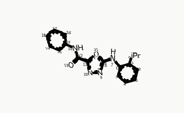 CC(C)c1ccccc1Nc1nnc(C(=O)Nc2ccccc2)o1